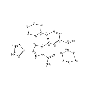 NC(=O)c1nc(-c2cn[nH]c2)sc1-c1cc(C(=O)N2CCOCC2)ccc1N1CCCCC1